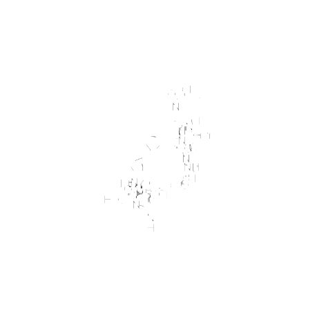 C=CC(=O)N1CC[C@H](C(=O)N(C)[C@H](C(=O)N[C@H]2Cc3cccc(c3)-c3ccc4c(c3)c(c(-c3cc5c(nc3[C@H](C)OC)CNCC5)n4CC)CC(C)(C)COC(=O)[C@@H]3CCCN(N3)C2=O)C(C)C)C1